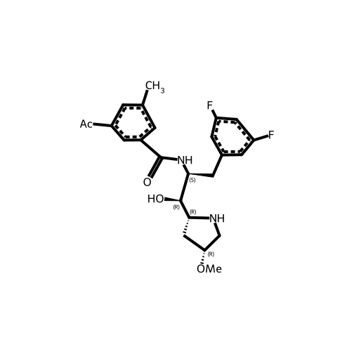 CO[C@H]1CN[C@@H]([C@@H](O)[C@H](Cc2cc(F)cc(F)c2)NC(=O)c2cc(C)cc(C(C)=O)c2)C1